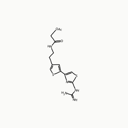 CC(=O)OCC(=O)NCCc1csc(-c2csc(NC(=N)N)n2)c1